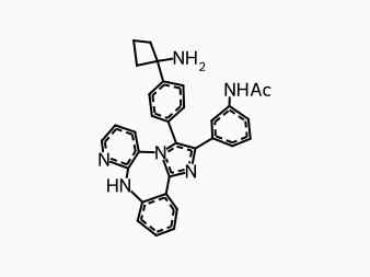 CC(=O)Nc1cccc(-c2nc3n(c2-c2ccc(C4(N)CCC4)cc2)-c2cccnc2Nc2ccccc2-3)c1